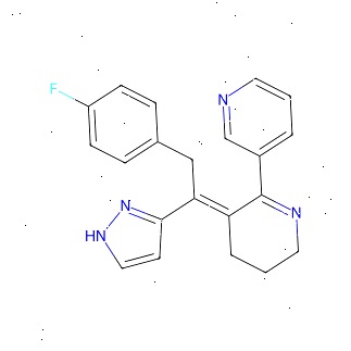 Fc1ccc(CC(=C2CCCN=C2c2cccnc2)c2cc[nH]n2)cc1